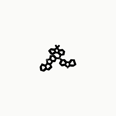 CC1(C)c2ccccc2-c2c(N(c3ccc4oc5c6ccccc6ccc5c4c3)c3ccc4sc5ccccc5c4c3)cccc21